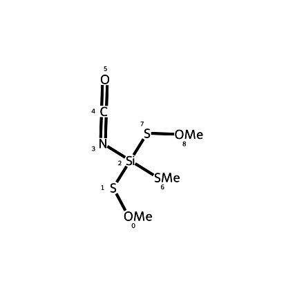 COS[Si](N=C=O)(SC)SOC